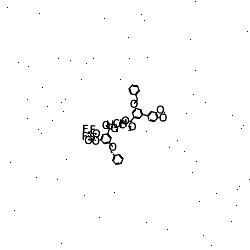 COC(=O)c1cc(OCc2ccccc2)cc(-c2ccc3c(c2)OCO3)c1.COC(=O)c1cc(OCc2ccccc2)cc(OS(=O)(=O)C(F)(F)F)c1